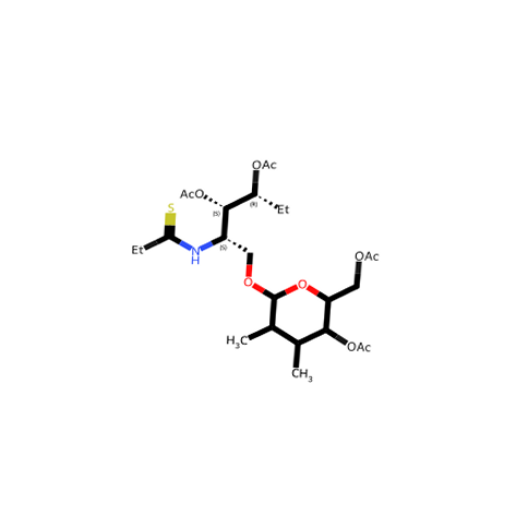 CCC(=S)N[C@@H](COC1OC(COC(C)=O)C(OC(C)=O)C(C)C1C)[C@H](OC(C)=O)[C@@H](CC)OC(C)=O